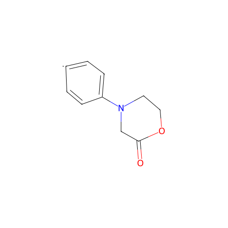 O=C1CN(c2cc[c]cc2)CCO1